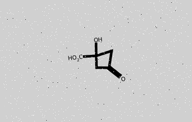 O=C1CC(O)(C(=O)O)C1